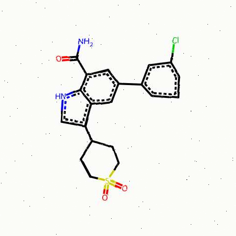 NC(=O)c1cc(-c2cccc(Cl)c2)cc2c(C3CCS(=O)(=O)CC3)c[nH]c12